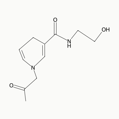 CC(=O)CN1C=CCC(C(=O)NCCO)=C1